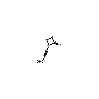 O=CC#CN1CCC1=O